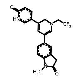 CN1C(=O)Cc2cc(C3=CN(CC(F)(F)F)CC(c4ccc(=O)[nH]c4)=C3)ccc21